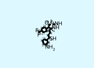 CN1C(=N)N[C@](C)(/C=C/C=C(\S)c2cccc(N)c2)C(c2ccc(C(F)F)cc2)C1=O